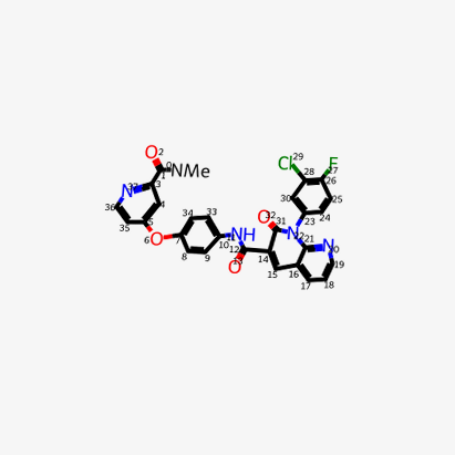 CNC(=O)c1cc(Oc2ccc(NC(=O)c3cc4cccnc4n(-c4ccc(F)c(Cl)c4)c3=O)cc2)ccn1